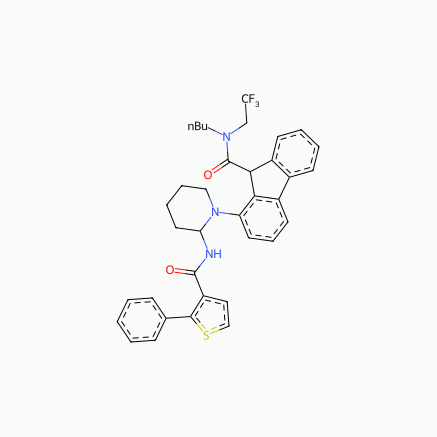 CCCCN(CC(F)(F)F)C(=O)C1c2ccccc2-c2cccc(N3CCCCC3NC(=O)c3ccsc3-c3ccccc3)c21